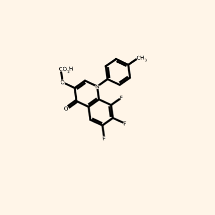 Cc1ccc(-n2cc(OC(=O)O)c(=O)c3cc(F)c(F)c(F)c32)cc1